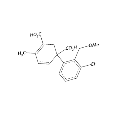 CCc1cccc(C2(C(=O)O)C=CC(C)=C(C(=O)O)C2)c1COC